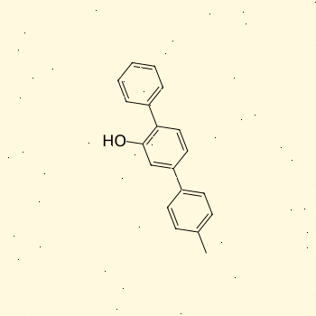 Cc1ccc(-c2ccc(-c3ccccc3)c(O)c2)cc1